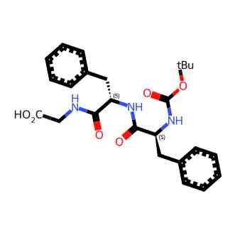 CC(C)(C)OC(=O)N[C@@H](Cc1ccccc1)C(=O)N[C@@H](Cc1ccccc1)C(=O)NCC(=O)O